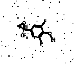 CCOc1c(F)cc([C@@]2(C(F)(F)F)CO2)cc1F